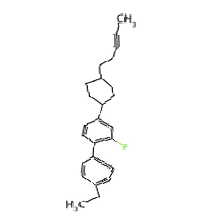 CC#CCCC1CCC(c2ccc(-c3ccc(CC)cc3)c(F)c2)CC1